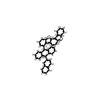 c1ccc2cc(-c3c4ccccc4c(-c4cccc5oc6c(ccc7oc8ccccc8c76)c45)c4ccccc34)ccc2c1